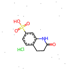 Cl.O=C1CCc2ccc(S(=O)(=O)O)cc2N1